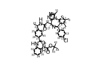 Cc1sc2c(c1C)C(c1ccc(Cl)cc1)=N[C@@](C)(CC(=O)NC(C)c1ccc(C(=O)Nc3ccccc3NC(=O)OC(C)(C)C)cc1)c1nnc(C)n1-2